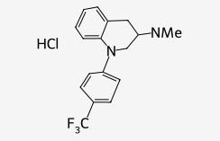 CNC1Cc2ccccc2N(c2ccc(C(F)(F)F)cc2)C1.Cl